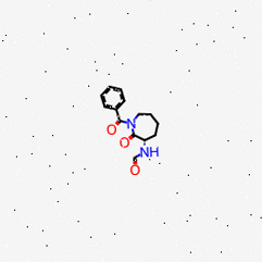 O=CN[C@H]1CCCCN(C(=O)c2ccccc2)C1=O